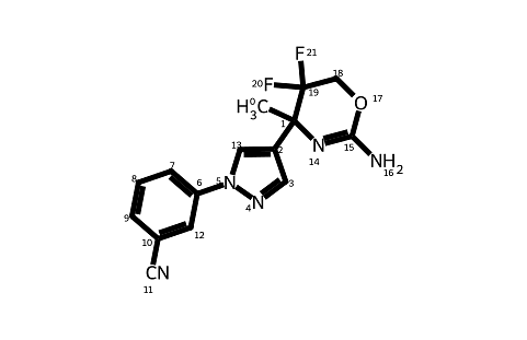 CC1(c2cnn(-c3cccc(C#N)c3)c2)N=C(N)OCC1(F)F